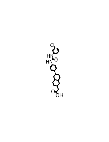 O=C(O)CC1CCC2CC(c3ccc(NC(=O)Nc4cccc(Cl)c4)cc3)CCC2C1